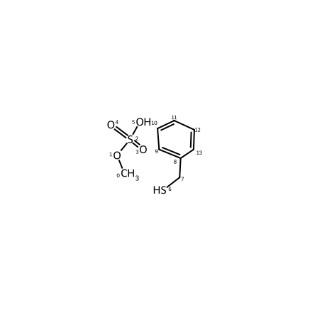 COS(=O)(=O)O.SCc1ccccc1